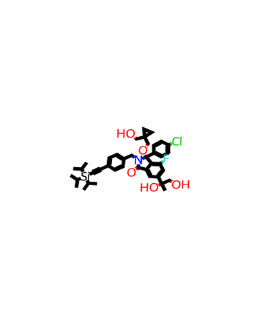 CC(C)[Si](C#Cc1ccc(CN2C(=O)c3cc(C(C)(O)CO)cc(F)c3C2(OCC2(CO)CC2)c2ccc(Cl)cc2)cc1)(C(C)C)C(C)C